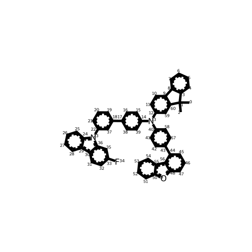 CC1(C)c2ccccc2-c2ccc(N(c3ccc(-c4cccc(-n5c6ccccc6c6ccc(F)cc65)c4)cc3)c3ccc(-c4cccc5oc6ccccc6c45)cc3)cc21